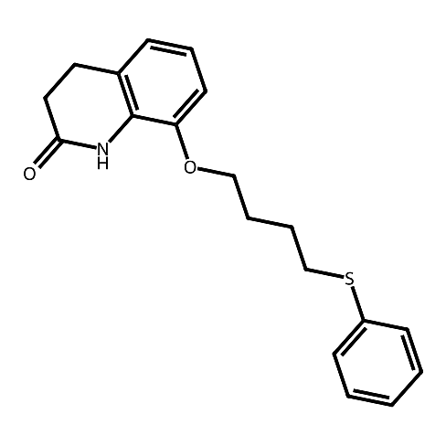 O=C1CCc2cccc(OCCCCSc3ccccc3)c2N1